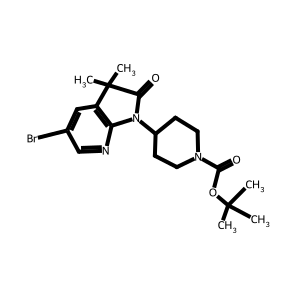 CC(C)(C)OC(=O)N1CCC(N2C(=O)C(C)(C)c3cc(Br)cnc32)CC1